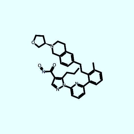 CCCc1c(C(=O)N=O)cnn1-c1cccc(-c2cccc(C)c2CCc2ccc3c(c2)CCN([C@@H]2CCOC2)C3)n1